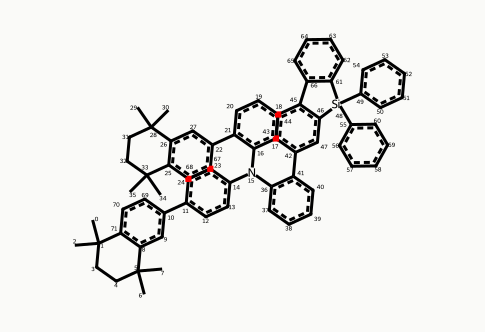 CC1(C)CCC(C)(C)c2cc(-c3ccc(N(c4ccccc4-c4ccc5c(c4)C(C)(C)CCC5(C)C)c4ccccc4-c4ccc5c(c4)[Si](c4ccccc4)(c4ccccc4)c4ccccc4-5)cc3)ccc21